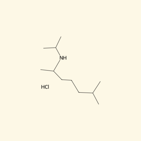 CC(C)CCCC(C)NC(C)C.Cl